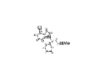 CNCC[C@H](c1ccccc1)n1ccc2c(Cl)cccc21